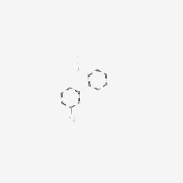 CCC(CC)c1ccc(Cl)cc1-c1cccc(N)c1